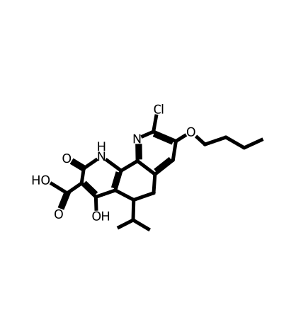 CCCCOc1cc2c(nc1Cl)-c1[nH]c(=O)c(C(=O)O)c(O)c1C(C(C)C)C2